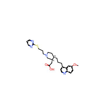 COc1ccc2nccc(CCC[C@@H]3CCN(CCCSc4ncccn4)C[C@@H]3CC(=O)O)c2c1